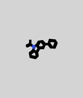 C=C(C)n1c2ccccc2c2cc(-c3ccccc3)ccc21